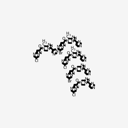 CC1c2nnc(-c3ccncn3)n2CCN1C(=O)c1cc2ncc(Br)cn2n1.CC1c2nnc(-c3ccncn3)n2CCN1C(=O)c1cc2ncc(Cl)cn2n1.CC1c2nnc(-c3cncnc3)n2CCN1C(=O)c1cc2ncc(Cl)cn2n1.O=C(c1cc2ncc(Br)cn2n1)N1CCn2c(nnc2-c2ccncn2)C1.O=C(c1cc2ncc(Cl)cn2n1)N1CCn2c(nnc2-c2ccncn2)C1